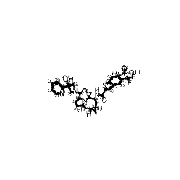 O=C(N[C@H]1C[C@@H]2C[C@@H]2C[C@H]2CC[C@@H](C(=O)N3CC(O)(c4ccccn4)C3)N2C1=O)c1cc2cc(C(F)(F)P(=O)(O)O)ccc2s1